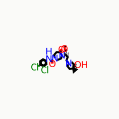 COC[C@H](CCN1CCC2(CC2)[C@H](O)C1)N1CCN(C(=O)Nc2ccc(Cl)c(Cl)c2)CCC1=O